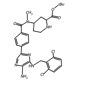 CN(C(=O)c1ccc(-c2cnc(N)c(NCc3c(Cl)cccc3Cl)n2)cc1)C1CCNC(C(=O)OC(C)(C)C)C1